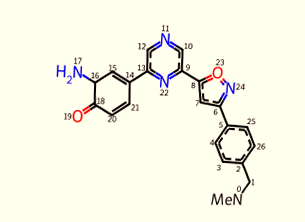 CNCc1ccc(-c2cc(-c3cncc(C4=CC(N)C(=O)C=C4)n3)on2)cc1